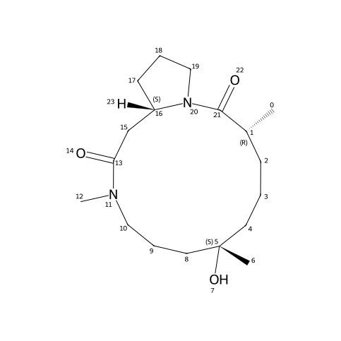 C[C@@H]1CCC[C@](C)(O)CCCN(C)C(=O)C[C@@H]2CCCN2C1=O